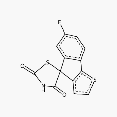 O=C1NC(=O)C2(S1)c1cc(F)ccc1-c1sccc12